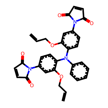 C=CCOc1cc(N2C(=O)C=CC2=O)ccc1N(c1ccccc1)c1ccc(N2C(=O)C=CC2=O)cc1OCC=C